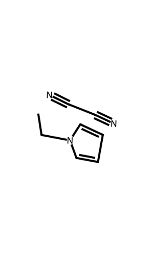 CCn1cccc1.N#CC#N